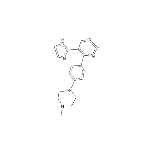 CN1CCN(c2ccc(-c3n[c]ncc3-c3ncc[nH]3)cc2)CC1